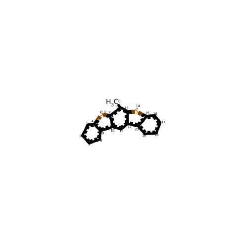 Cc1c2sc3ccccc3c2cc2c1sc1ccccc12